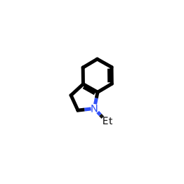 CCN1CCC2=C1C=CCC2